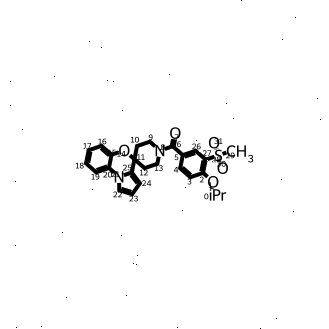 CC(C)Oc1ccc(C(=O)N2CCC3(CC2)Oc2ccccc2-n2cccc23)cc1S(C)(=O)=O